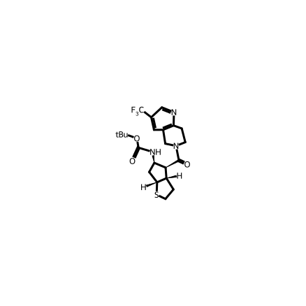 CC(C)(C)OC(=O)N[C@@H]1C[C@H]2SCC[C@H]2[C@@H]1C(=O)N1CCc2ncc(C(F)(F)F)cc2C1